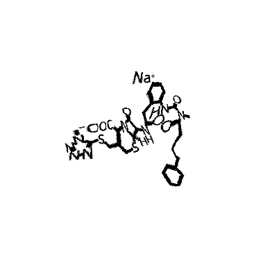 CN(C(=O)CCCc1ccccc1)C(=O)Nc1ccccc1CC(=O)NC1C(=O)N2C(C(=O)[O-])=C(CSc3nnnn3C)CS[C@H]12.[Na+]